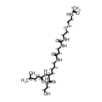 CC(=O)NCCSSCCNC(=O)NCCC(=O)NCCCCC(NC(=O)CCC(C)C)C(=O)NCCO